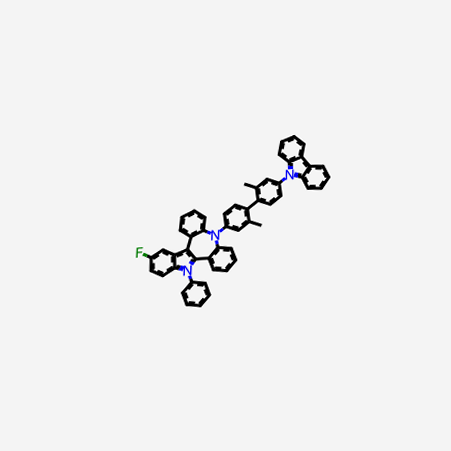 Cc1cc(N2c3ccccc3-c3c(n(-c4ccccc4)c4ccc(F)cc34)-c3ccccc32)ccc1-c1ccc(-n2c3ccccc3c3ccccc32)cc1C